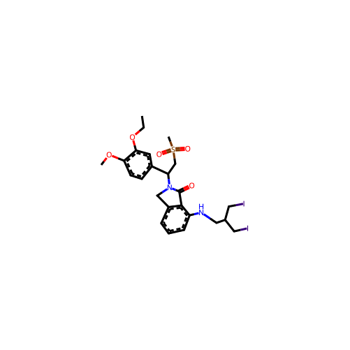 CCOc1cc(C(CS(C)(=O)=O)N2Cc3cccc(NCC(CI)CI)c3C2=O)ccc1OC